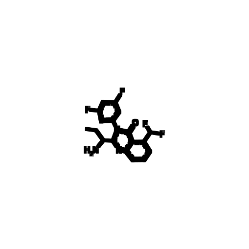 CCC(N)c1nc2cccc(C(F)F)c2c(=O)n1-c1cc(F)cc(F)c1